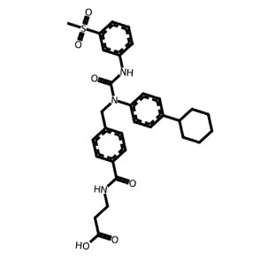 CS(=O)(=O)c1cccc(NC(=O)N(Cc2ccc(C(=O)NCCC(=O)O)cc2)c2ccc(C3CCCCC3)cc2)c1